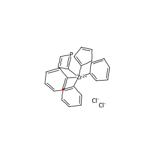 C1=CC[C]([Zr+2]([C]2=PC=C2)([c]2ccccc2)([c]2ccccc2)[c]2ccccc2)=C1.[Cl-].[Cl-]